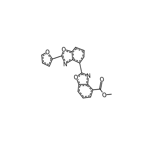 COC(=O)c1cccc2oc(-c3cccc4oc(-c5ccco5)nc34)nc12